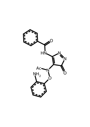 CC(=O)N(Oc1ccccc1N)C1=C(NC(=O)c2ccccc2)N=NC1=O